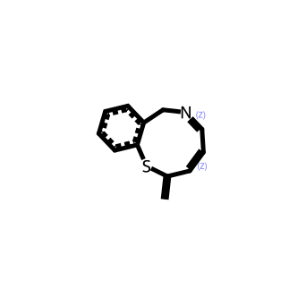 C=C1/C=C\C=N/Cc2ccccc2S1